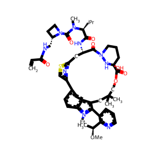 C=CC(=O)NC[C@@H]1CCN1C(=O)N(C)[C@H](C(=O)N[C@H]1Cc2nc(cs2)-c2ccc3c(c2)c(c(-c2cccnc2[C@H](C)OC)n3CC)CC(C)(C)COC(=O)[C@@]2(O)CCCN(N2)C1=O)C(C)C